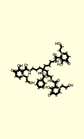 O=C(NC(CCCNC(=O)c1c(O)c(=O)ccn1CCO)(CCCNC(=O)c1c(O)c(=O)ccn1CCO)CCCNC(=O)c1c(O)c(=O)ccn1CCO)c1ccccc1